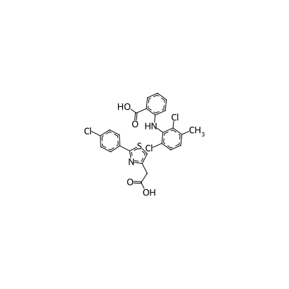 Cc1ccc(Cl)c(Nc2ccccc2C(=O)O)c1Cl.O=C(O)Cc1csc(-c2ccc(Cl)cc2)n1